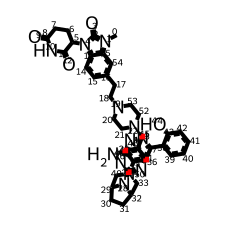 Cn1c(=O)n(C2CCC(=O)NC2=O)c2ccc(CCN3CCN(Cc4cnc(N5C6CCC5CN(c5cc(-c7ccccc7O)nnc5N)C6)nc4)CC3)cc21